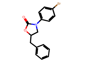 O=C1OC(Cc2ccccc2)CN1c1ccc(Br)cc1